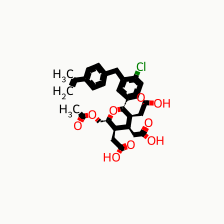 C=C(C)c1ccc(Cc2cc([C@H]3O[C@@H](COC(C)=O)[C@H](CC(=O)O)[C@H](CC(=O)O)[C@@H]3CC(=O)O)ccc2Cl)cc1